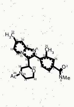 CNC(=O)c1ccc(-c2nc3cc(C)ccn3c2C2CN(C(C)=O)CCO2)c(C)c1